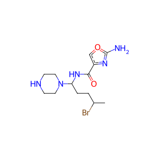 CC(Br)CCC(NC(=O)c1coc(N)n1)N1CCNCC1